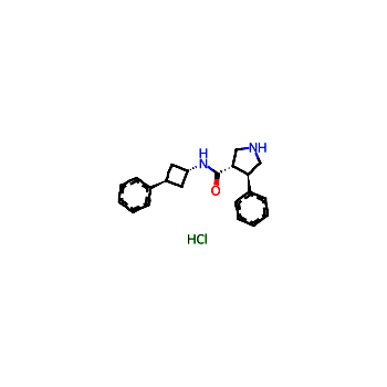 Cl.O=C(N[C@H]1C[C@H](c2ccccc2)C1)[C@@H]1CNC[C@H]1c1ccccc1